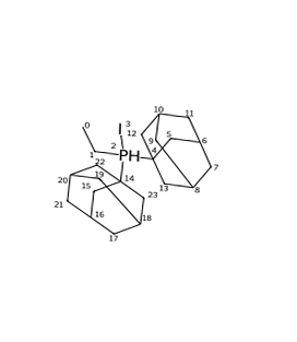 CC[PH](I)(C12CC3CC(CC(C3)C1)C2)C12CC3CC(CC(C3)C1)C2